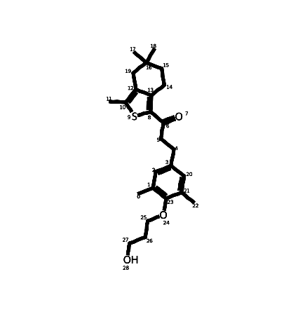 Cc1cc(CCC(=O)c2sc(C)c3c2CCC(C)(C)C3)cc(C)c1OCCCO